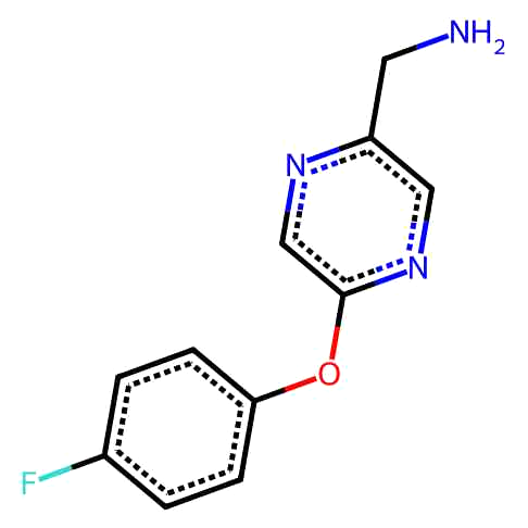 NCc1cnc(Oc2ccc(F)cc2)cn1